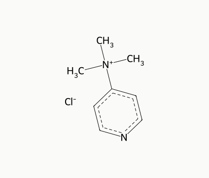 C[N+](C)(C)c1ccncc1.[Cl-]